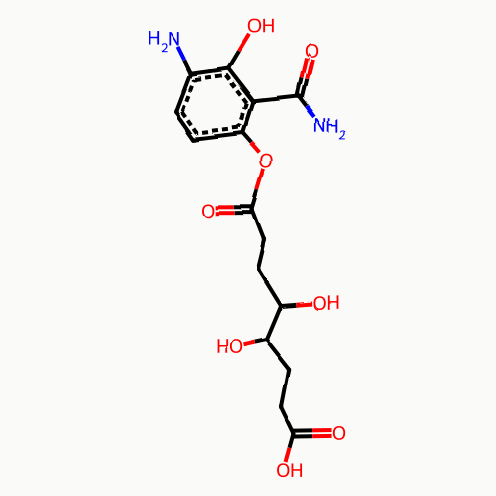 NC(=O)c1c(OC(=O)CCC(O)C(O)CCC(=O)O)ccc(N)c1O